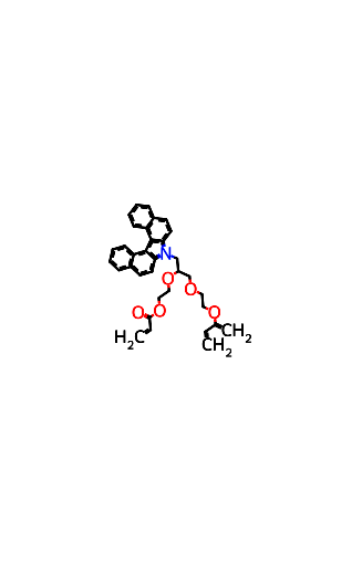 C=CC(=C)OCCOCC(Cn1c2ccc3ccccc3c2c2c3ccccc3ccc21)OCCOC(=O)C=C